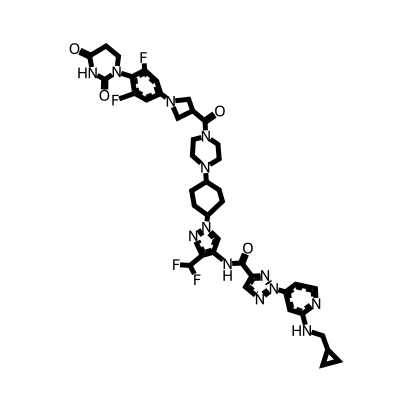 O=C1CCN(c2c(F)cc(N3CC(C(=O)N4CCN(C5CCC(n6cc(NC(=O)c7cnn(-c8ccnc(NCC9CC9)c8)n7)c(C(F)F)n6)CC5)CC4)C3)cc2F)C(=O)N1